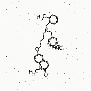 Cc1ccccc1CN(CCCCOc1ccc2c(ccc(=O)n2C)c1)Cc1cccnc1.Cl.Cl